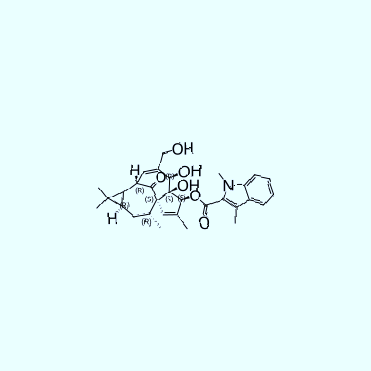 CC1=C[C@]23C(=O)[C@@H](C=C(CO)[C@@H](O)[C@]2(O)[C@H]1OC(=O)c1c(C)c2ccccc2n1C)C1[C@@H](C[C@H]3C)C1(C)C